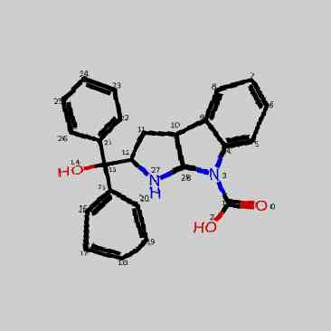 O=C(O)N1c2ccccc2C2CC(C(O)(c3ccccc3)c3ccccc3)NC21